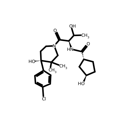 CC(O)[C@@H](NC(=O)[C@@H]1CC[C@@H](O)C1)C(=O)N1CC[C@](O)(c2ccc(Cl)cc2)C(C)(C)C1